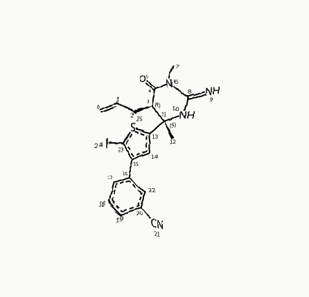 C=CC[C@H]1C(=O)N(C)C(=N)N[C@]1(C)c1cc(-c2cccc(C#N)c2)c(I)s1